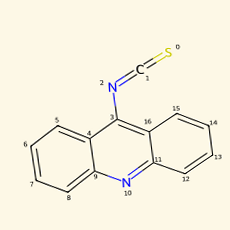 S=C=Nc1c2ccccc2nc2ccccc12